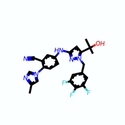 Cc1cn(-c2ccc(Nc3cc(C(C)(C)O)n(Cc4cc(F)c(F)c(F)c4)n3)cc2C#N)cn1